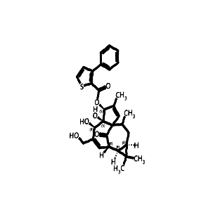 CC1=CC23C(=O)[C@@H](C=C(CO)[C@@H](O)[C@]2(O)[C@H]1OC(=O)c1sccc1-c1ccccc1)[C@H]1[C@@H](CC3C)C1(C)C